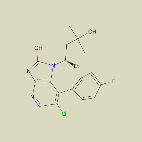 CC[C@H](CC(C)(C)O)n1c(O)nc2ncc(Cl)c(-c3ccc(F)cc3)c21